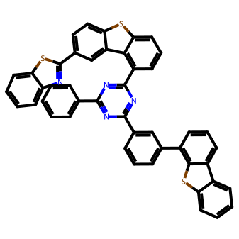 c1ccc(-c2nc(-c3cccc(-c4cccc5c4sc4ccccc45)c3)nc(-c3cccc4sc5ccc(-c6nc7ccccc7s6)cc5c34)n2)cc1